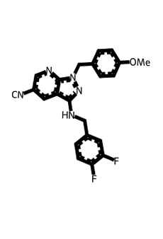 [C-]#[N+]c1cnc2c(c1)c(NCc1ccc(F)c(F)c1)nn2Cc1ccc(OC)cc1